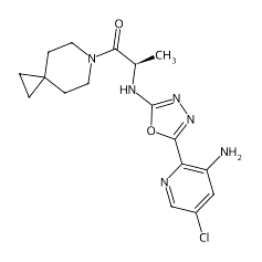 C[C@@H](Nc1nnc(-c2ncc(Cl)cc2N)o1)C(=O)N1CCC2(CC1)CC2